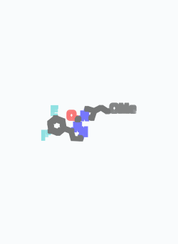 COCCC1CN(C(=O)N2N=CCC2c2cc(F)cc(F)c2)C1